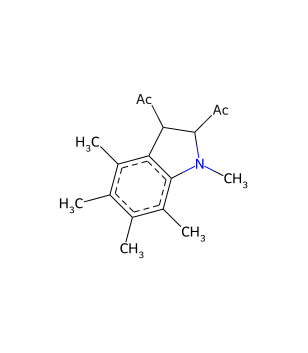 CC(=O)C1c2c(C)c(C)c(C)c(C)c2N(C)C1C(C)=O